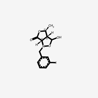 C[C@@H]1OC(=O)[C@@H]2[C@H]1C(O)ON2Cc1cccc(I)c1